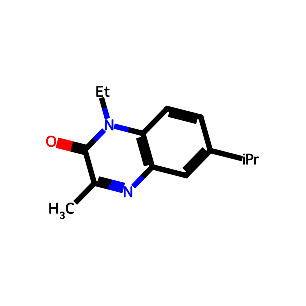 CCn1c(=O)c(C)nc2cc(C(C)C)ccc21